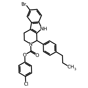 CCCc1ccc(C2c3[nH]c4ccc(Br)cc4c3CCN2C(=O)Oc2ccc(Cl)cc2)cc1